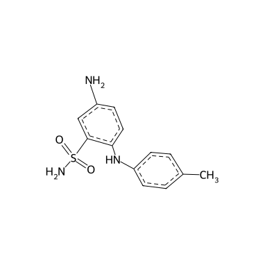 Cc1ccc(Nc2ccc(N)cc2S(N)(=O)=O)cc1